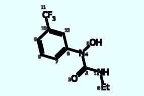 CCNC(=O)N(O)c1cccc(C(F)(F)F)c1